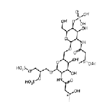 CC(=O)O[C@H](C)CC(=O)NC1C(OCC2OC(OCC(COS(=O)(=O)O)OS(=O)(=O)O)C(NC(=O)C[C@@H](C)O)C(O)C2O)OC(CO)C(OP(=O)(O)O)C1O